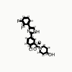 O=S(=O)(c1cc(-c2nc(-c3cccc(F)c3F)c[nH]2)ccc1Cl)N1CCC(O)CC1